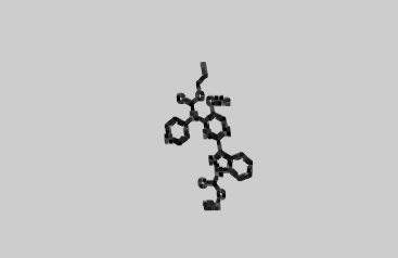 C=CCOC(=O)N(c1ccncc1)c1nc(-c2nn(C(=O)OC(C)(C)C)c3ccccc23)ncc1OC